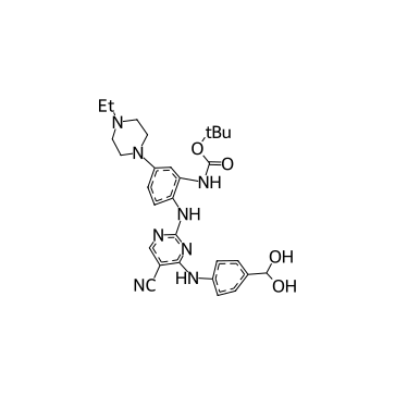 CCN1CCN(c2ccc(Nc3ncc(C#N)c(Nc4ccc(C(O)O)cc4)n3)c(NC(=O)OC(C)(C)C)c2)CC1